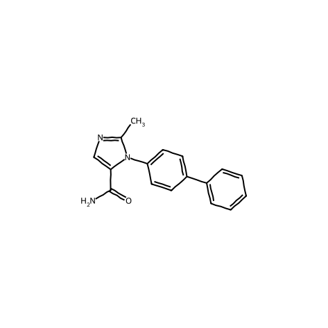 Cc1ncc(C(N)=O)n1-c1ccc(-c2ccccc2)cc1